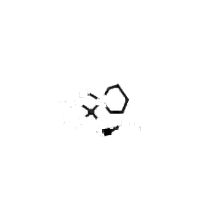 CC#N.CC(C)(C)[Si]1(Cl)CCCCC1